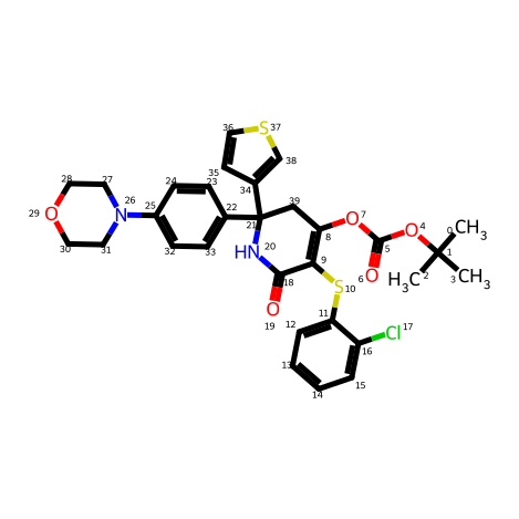 CC(C)(C)OC(=O)OC1=C(Sc2ccccc2Cl)C(=O)NC(c2ccc(N3CCOCC3)cc2)(c2ccsc2)C1